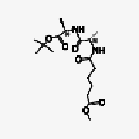 COC(=O)CCCCC(=O)N[C@@H](C)C(=O)N[C@H](C)C(=O)OC(C)(C)C